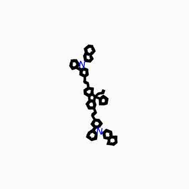 C=CCC1(c2ccccc2)c2cc(/C=C/c3ccc4c(c3)c3ccccc3n4-c3ccc4ccccc4c3)ccc2-c2ccc(/C=C/c3ccc4c(c3)c3ccccc3n4-c3ccc4ccccc4c3)cc21